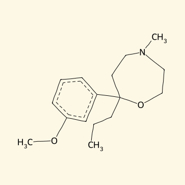 CCCC1(c2cccc(OC)c2)CCN(C)CCO1